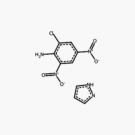 Nc1c(Cl)cc([N+](=O)[O-])cc1[N+](=O)[O-].c1cn[nH]c1